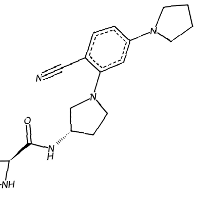 N#Cc1ccc(N2CCCC2)cc1N1CC[C@H](NC(=O)[C@@H]2CCN2)C1